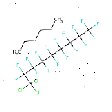 CCCCCC.FC(F)(F)C(F)(F)C(F)(F)C(F)(F)C(F)(F)C(F)(F)C(F)(F)C(F)(F)[Si](Cl)(Cl)Cl